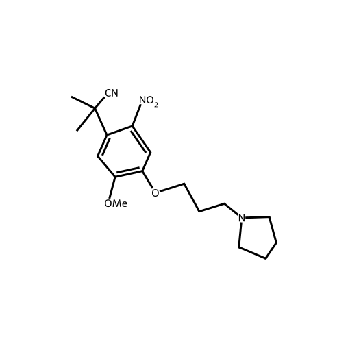 COc1cc(C(C)(C)C#N)c([N+](=O)[O-])cc1OCCCN1CCCC1